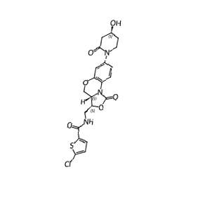 O=C(NC[C@@H]1OC(=O)N2c3ccc(N4CC[C@H](O)CC4=O)cc3OC[C@@H]12)c1ccc(Cl)s1